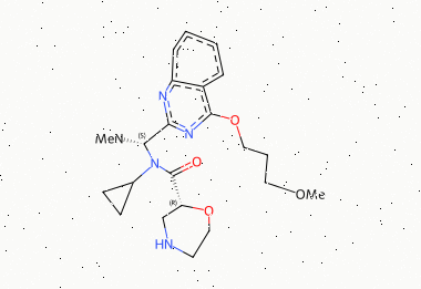 CN[C@H](c1nc(OCCCOC)c2ccccc2n1)N(C(=O)[C@H]1CNCCO1)C1CC1